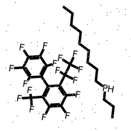 CCCCCCCCCPCCC.Fc1c(F)c(F)c(-c2c(C(F)(F)F)c(F)c(F)c(F)c2C(F)(F)C(F)(F)F)c(F)c1F